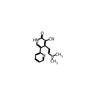 CN(C)C=Cc1c(-c2ccccn2)c[nH]c(=O)c1C#N